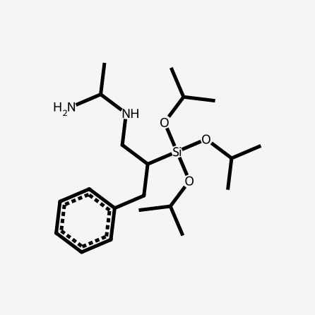 CC(N)NCC(Cc1ccccc1)[Si](OC(C)C)(OC(C)C)OC(C)C